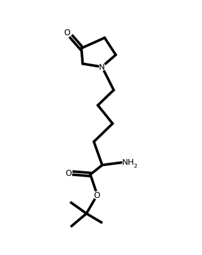 CC(C)(C)OC(=O)C(N)CCCCN1CCC(=O)C1